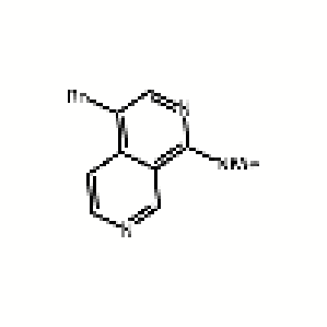 CNc1ncc(Br)c2ccncc12